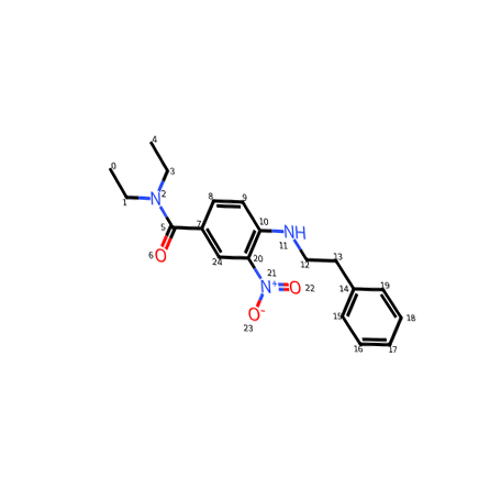 CCN(CC)C(=O)c1ccc(NCCc2ccccc2)c([N+](=O)[O-])c1